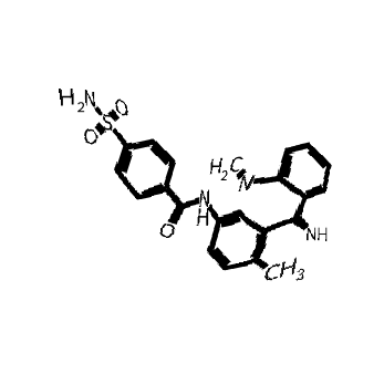 C=Nc1ccccc1C(=N)c1cc(NC(=O)c2ccc(S(N)(=O)=O)cc2)ccc1C